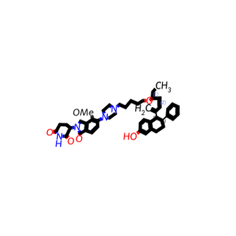 C=C(/C=C\C(=C/C)OCCCCCN1CCN(c2ccc3c(c2OC)CN(C2CCC(=O)NC2=O)C3=O)CC1)[C@@H]1c2ccc(O)cc2CC[C@@H]1c1ccccc1